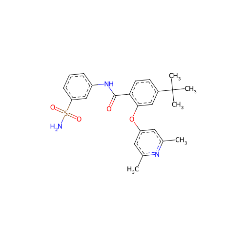 Cc1cc(Oc2cc(C(C)(C)C)ccc2C(=O)Nc2cccc(S(N)(=O)=O)c2)cc(C)n1